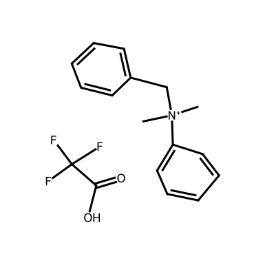 C[N+](C)(Cc1ccccc1)c1ccccc1.O=C(O)C(F)(F)F